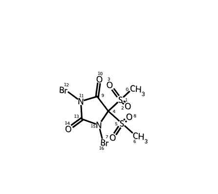 CS(=O)(=O)C1(S(C)(=O)=O)C(=O)N(Br)C(=O)N1Br